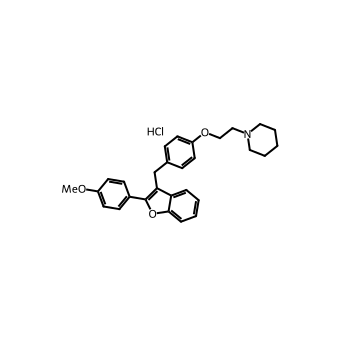 COc1ccc(-c2oc3ccccc3c2Cc2ccc(OCCN3CCCCC3)cc2)cc1.Cl